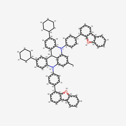 Cc1cc2c3c(c1)N(c1ccc(-c4cccc5c4oc4ccccc45)cc1)c1cc(C4CCCCC4)ccc1B3c1cc(C3CCCCC3)ccc1N2c1ccc(-c2cccc3c2oc2ccccc23)cc1